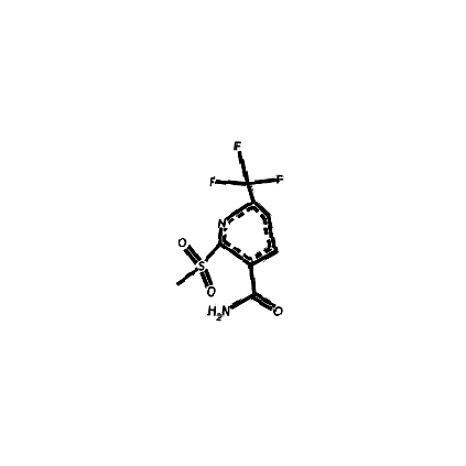 CS(=O)(=O)c1nc(C(F)(F)F)ccc1C(N)=O